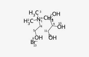 C[N+](C)(C)CCO.OCC(O)CO.[Br-]